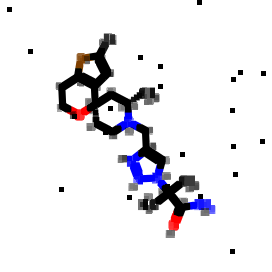 CCc1cc2c(s1)CCO[C@@]21CCN(Cc2cn(C(C)(C)C(N)=O)nn2)[C@@H](C)C1